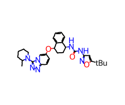 CC1CCCCN1c1nnc2ccc(O[C@@H]3CC[C@H](NC(=O)Nc4cc(C(C)(C)C)on4)c4ccccc43)cn12